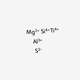 [Al+3].[Mg+2].[S-2].[Si+4].[Ti+4]